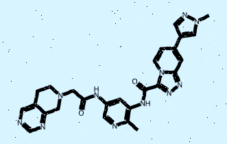 Cc1ncc(NC(=O)CN2CCc3cncnc3C2)cc1NC(=O)c1nnc2cc(-c3cnn(C)c3)ccn12